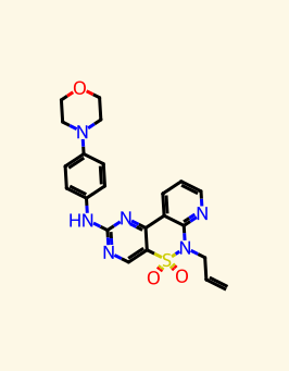 C=CCN1c2ncccc2-c2nc(Nc3ccc(N4CCOCC4)cc3)ncc2S1(=O)=O